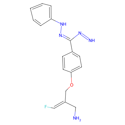 N=N/C(=N\Nc1ccccc1)c1ccc(OC/C(=C\F)CN)cc1